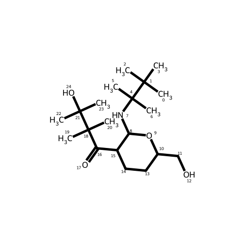 CC(C)(C)C(C)(C)NC1OC(CO)CCC1C(=O)C(C)(C)C(C)(C)O